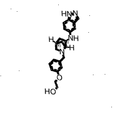 OCCOc1cccc(CN2C[C@H]3C[C@@H]2[C@H](Nc2ccc4[nH]ncc4c2)C3)c1